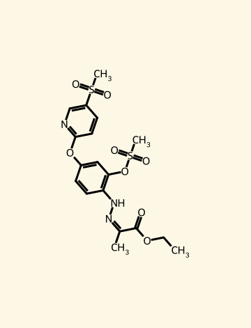 CCOC(=O)C(C)=NNc1ccc(Oc2ccc(S(C)(=O)=O)cn2)cc1OS(C)(=O)=O